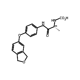 C[C@@H](NC(=O)O)C(=O)Nc1ccc(Oc2ccc3c(c2)COC3)cc1